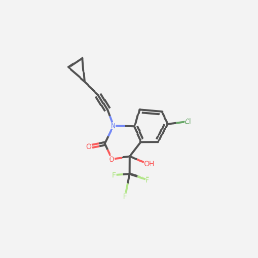 O=C1OC(O)(C(F)(F)F)c2cc(Cl)ccc2N1C#CC1CC1